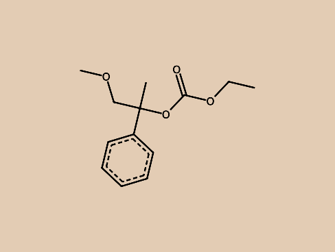 CCOC(=O)OC(C)(COC)c1ccccc1